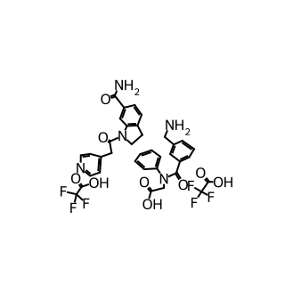 NC(=O)c1ccc2c(c1)N(C(=O)Cc1ccncc1)CC2.NCc1cccc(C(=O)N(CC(=O)O)c2ccccc2)c1.O=C(O)C(F)(F)F.O=C(O)C(F)(F)F